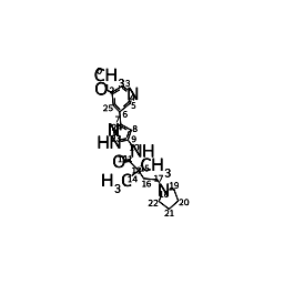 COc1cncc(-c2cc(NC(=O)C(C)(C)CCN3CCCC3)[nH]n2)c1